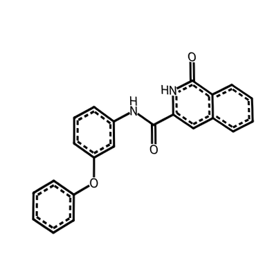 O=C(Nc1cccc(Oc2ccccc2)c1)c1cc2ccccc2c(=O)[nH]1